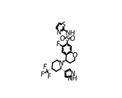 O=S(=O)(Nc1nccs1)c1cc2c(cc1F)[C@H](N1CC[C@@H](C(F)(F)F)C[C@H]1c1cn[nH]c1)CCO2